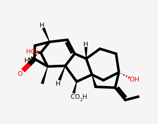 C/C=C1/C[C@]23C[C@@]1(O)CC[C@H]2C1=C[C@H]2CC(=O)[C@@](C)([C@H]1[C@@H]3C(=O)O)[C@H]2O